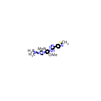 CNc1cc(Nc2cc(-c3ccc4nc(C)sc4c3)ncn2)c(OC)cc1N1CCN(CCN(C)C)CC1